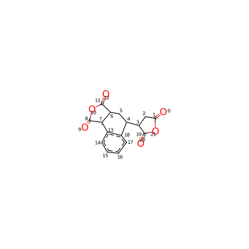 O=C1CC(C2CC3[C](C(=O)OC3=O)c3ccccc32)C(=O)O1